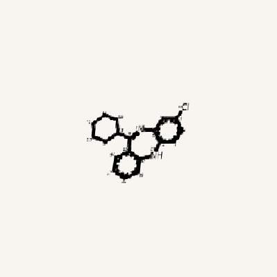 Clc1ccc2c(c1)N=C(C1CCCCC1)c1ccccc1N2